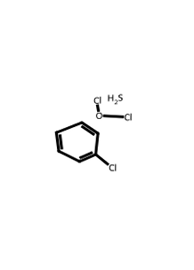 ClOCl.Clc1ccccc1.S